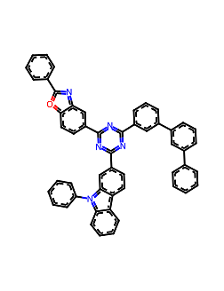 c1ccc(-c2cccc(-c3cccc(-c4nc(-c5ccc6oc(-c7ccccc7)nc6c5)nc(-c5ccc6c7ccccc7n(-c7ccccc7)c6c5)n4)c3)c2)cc1